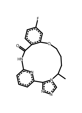 CC1CCCOc2cc(F)ccc2C(=O)Nc2cccc(n2)-c2nncn21